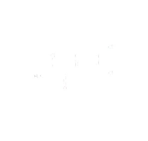 CC(Cl)C(=O)c1ccc(Cl)c(Cl)c1